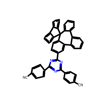 N#Cc1ccc(-c2nc(-c3ccc(C#N)cc3)nc(-c3ccc4c(c3)-c3ccccc3-c3ccccc3C43c4ccccc4-c4ccccc43)n2)cc1